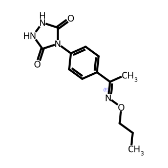 CCCO/N=C(\C)c1ccc(-n2c(=O)[nH][nH]c2=O)cc1